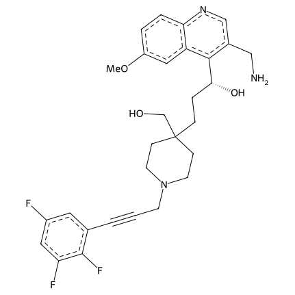 COc1ccc2ncc(CN)c([C@H](O)CCC3(CO)CCN(CC#Cc4cc(F)cc(F)c4F)CC3)c2c1